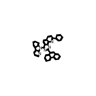 c1ccc(-c2ccc3ccc4c(-n5c6ccccc6c6cccnc65)nc(-c5cc6ccccc6c6ccccc56)nc4c3n2)cc1